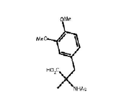 COc1ccc(CC(C)(NC(C)=O)C(=O)O)cc1OC